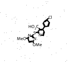 COc1cc(OC)nc(Sc2nccc(-c3ccc(Cl)cc3)c2C(=O)O)n1